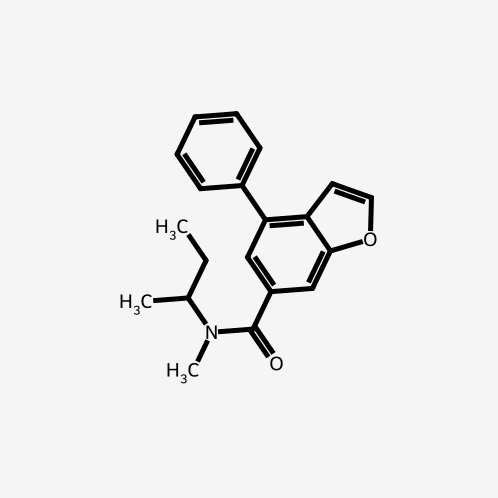 CCC(C)N(C)C(=O)c1cc(-c2ccccc2)c2ccoc2c1